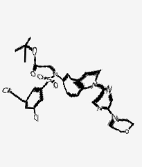 CC(C)(C)OC(=O)CN(c1ccc2c(ccn2-c2cnc(N3CCOCC3)cn2)c1)S(=O)(=O)c1cc(Cl)cc(Cl)c1